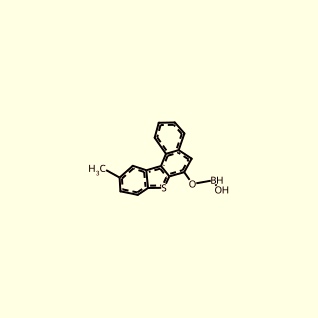 Cc1ccc2sc3c(OBO)cc4ccccc4c3c2c1